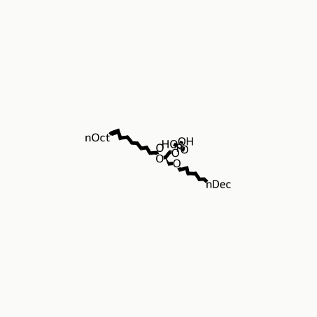 CCCCCCCC/C=C\CCCCCCCC(=O)O[C@H](COCCCCCCCCCCCCCCCC)COP(=O)(O)O